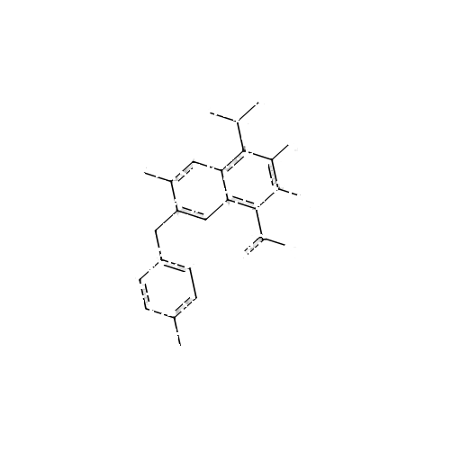 Cc1ccc(Cc2cc3c(C(=O)O)c(O)c(O)c(C(C)C)c3cc2C)cc1